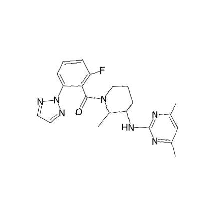 Cc1cc(C)nc(NC2CCCN(C(=O)c3c(F)cccc3-n3nccn3)C2C)n1